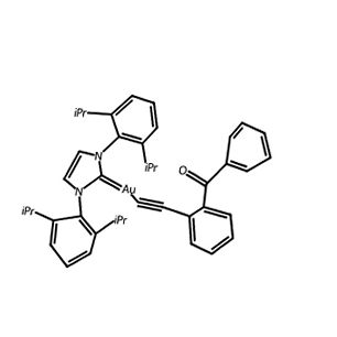 CC(C)c1cccc(C(C)C)c1-n1ccn(-c2c(C(C)C)cccc2C(C)C)[c]1=[Au][C]#Cc1ccccc1C(=O)c1ccccc1